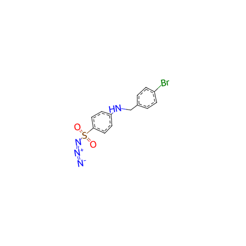 [N-]=[N+]=NS(=O)(=O)c1ccc(NCc2ccc(Br)cc2)cc1